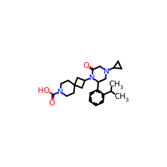 CC(C)c1ccccc1C1CN(C2CC2)CC(=O)N1C1CC2(CCN(C(=O)O)CC2)C1